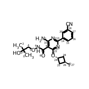 CC(C)(O)CONC(=O)c1c(N)nc(-c2cccc(C#N)c2)nc1O[C@H]1C[C@H](F)C1